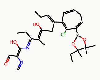 C=N\C(C=O)=C(O)/N=C(CC)/C(C)=C(\O)C/C(=C\CC)C1=C(Cl)C(B2OC(C)(C)C(C)(CC)O2)=CCC=C1